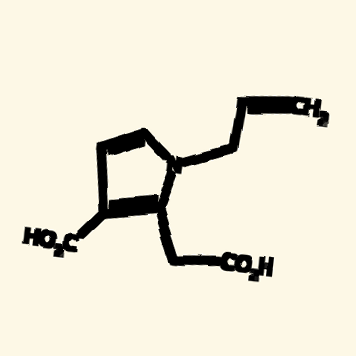 C=CCn1ccc(C(=O)O)c1CC(=O)O